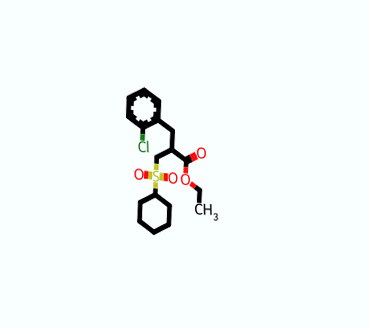 CCOC(=O)C(Cc1ccccc1Cl)CS(=O)(=O)C1CCCCC1